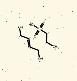 CCCS(=O)(=O)O.OCC=CCO